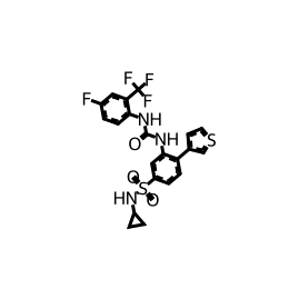 O=C(Nc1cc(S(=O)(=O)NC2CC2)ccc1-c1ccsc1)Nc1ccc(F)cc1C(F)(F)F